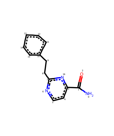 NC(=O)c1ccnc(CCc2ccccc2)n1